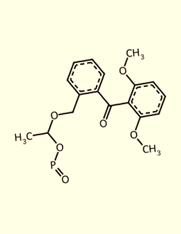 COc1cccc(OC)c1C(=O)c1ccccc1COC(C)OP=O